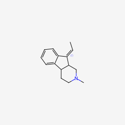 C/C=C1\c2ccccc2C2CCN(C)CC12